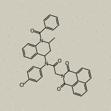 CC1CC(N(C(=O)CN2C(=O)c3cccc4cccc(c34)C2=O)c2ccc(Cl)cc2)c2ccccc2N1C(=O)c1ccccc1